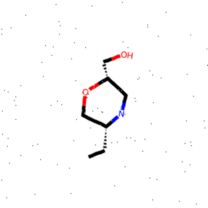 CC[C@@H]1CO[C@H](CO)C[N]1